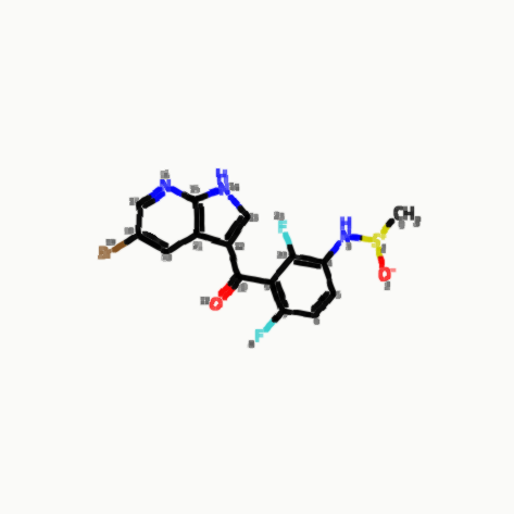 C[S+]([O-])Nc1ccc(F)c(C(=O)c2c[nH]c3ncc(Br)cc23)c1F